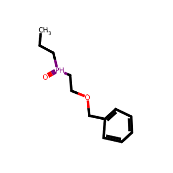 CCC[PH](=O)CCOCc1ccccc1